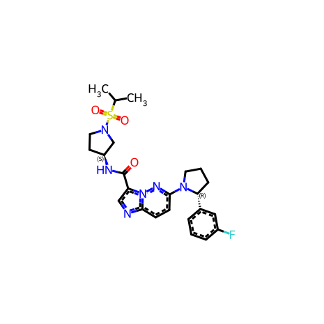 CC(C)S(=O)(=O)N1CC[C@H](NC(=O)c2cnc3ccc(N4CCC[C@@H]4c4cccc(F)c4)nn23)C1